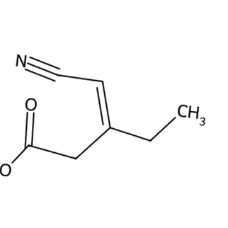 CCC(=CC#N)CC(=O)O